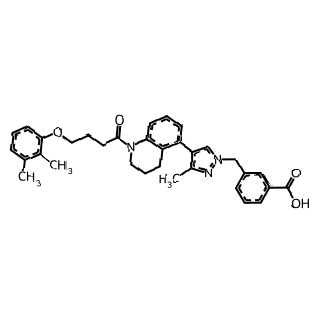 Cc1cccc(OCCCC(=O)N2CCCc3c(-c4cn(Cc5cccc(C(=O)O)c5)nc4C)cccc32)c1C